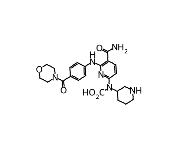 NC(=O)c1ccc(N(C(=O)O)C2CCCNC2)nc1Nc1ccc(C(=O)N2CCOCC2)cc1